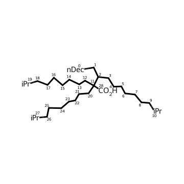 CCCCCCCCCCCC(CCCCCCCC(C)C)C(CCCCCCCC(C)C)(CCCCCCCC(C)C)C(=O)O